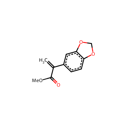 C=C(C(=O)OC)c1ccc2c(c1)OCO2